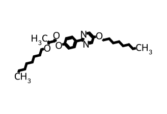 CCCCCCCCOc1cnc(-c2ccc(OC(=O)C(C)OCCCCCCCC)cc2)nc1